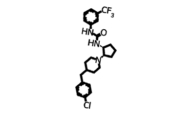 O=C(Nc1cccc(C(F)(F)F)c1)N[C@@H]1CCC[C@H]1N1CCC(Cc2ccc(Cl)cc2)CC1